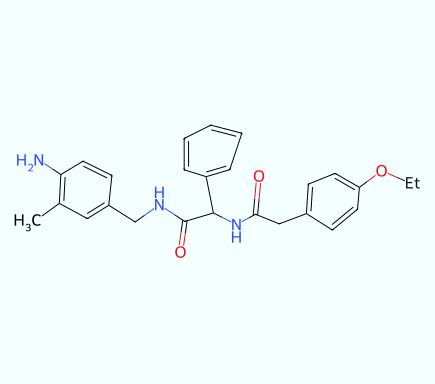 CCOc1ccc(CC(=O)NC(C(=O)NCc2ccc(N)c(C)c2)c2ccccc2)cc1